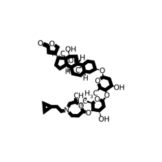 CC1CN(CCC2CC2)CCC(O[C@H]2[C@@H](O)C[C@H](O[C@@H]3[C@@H](O)C[C@@H](O[C@H]4CC[C@@]5(C)[C@H](CC[C@@H]6[C@@H]5C[C@@H](O)[C@]5(C)[C@@H](C7=CC(=O)OC7)CC[C@]65O)C4)O[C@@H]3C)O[C@@H]2C)O1